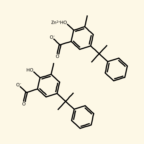 Cc1cc(C(C)(C)c2ccccc2)cc(C(=O)[O-])c1O.Cc1cc(C(C)(C)c2ccccc2)cc(C(=O)[O-])c1O.[Zn+2]